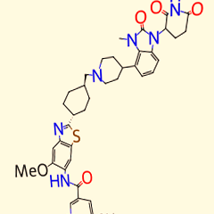 COc1cc2nc([C@H]3CC[C@H](CN4CCC(c5cccc6c5n(C)c(=O)n6C5CCC(=O)NC5=O)CC4)CC3)sc2cc1NC(=O)c1cncc(C#N)c1